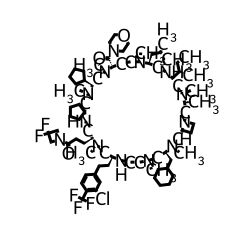 CC[C@H](C)[C@H]1CN(C)[C@@H](C)CN2CC[C@H]2CN(C)[C@@H](CC2CCCCC2)CN(C)CCN[C@@H](CCc2ccc(C(F)(F)F)c(Cl)c2)CN(C)[C@@H](CCC(=O)N2CC(F)(F)C2)CNC2(CCCC2)CN(C)[C@@H](C2CCCC2)CN(C)[C@H](C(=O)N2CCOCC2)CCN(C)[C@@H](CC(C)C)CN1